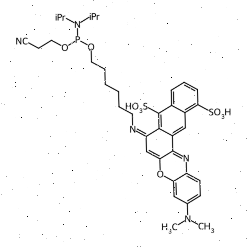 CC(C)N(C(C)C)P(OCCC#N)OCCCCCC/N=c1/cc2oc3cc(N(C)C)ccc3nc-2c2cc3c(S(=O)(=O)O)cccc3c(S(=O)(=O)O)c12